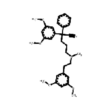 COc1cc(CCN(C)CCCC(C#N)(c2ccccc2)c2cc(OC)cc(OC)c2)cc(OC)c1